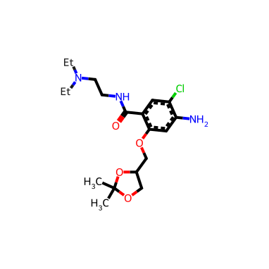 CCN(CC)CCNC(=O)c1cc(Cl)c(N)cc1OCC1COC(C)(C)O1